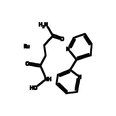 NC(=O)CCC(=O)NO.[Ru].c1ccc(-c2ccccn2)nc1